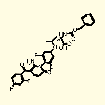 CC(C[C@H](NC(=O)OCc1ccccc1)C(=O)O)Oc1cc(F)c(-n2c(N)c(C(=O)c3ccc(F)cc3F)ccc2=O)c(F)c1